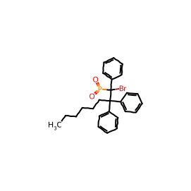 CCCCCCC(c1ccccc1)(c1ccccc1)C(Br)(c1ccccc1)P(=O)=O